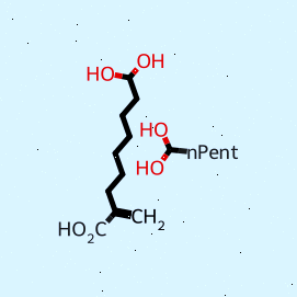 C=C(CCCCCCC(O)O)C(=O)O.CCCCCC(O)O